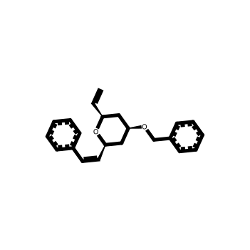 C=C[C@H]1C[C@@H](OCc2ccccc2)C[C@@H](/C=C\c2ccccc2)O1